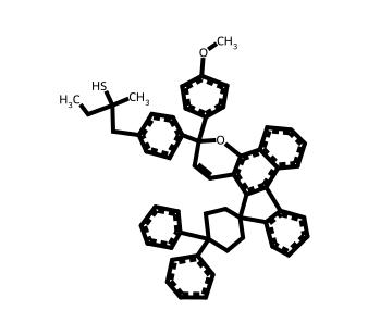 CCC(C)(S)Cc1ccc(C2(c3ccc(OC)cc3)C=Cc3c4c(c5ccccc5c3O2)-c2ccccc2C42CCC(c3ccccc3)(c3ccccc3)CC2)cc1